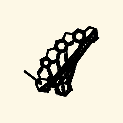 CN1CC2c3cc4c5c3c3c6c7c8c(cc9c8c8c%10c(cc%11c%12c%13c(cc(c%14c5c5c3c7c8c(c%12%10)c5c%13%14)C4)C%11)C9)=CC62C1